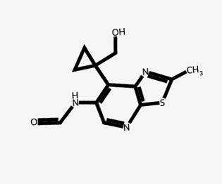 Cc1nc2c(C3(CO)CC3)c(NC=O)cnc2s1